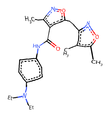 CCN(CC)c1ccc(NC(=O)c2c(C)noc2-c2noc(C)c2C)cc1